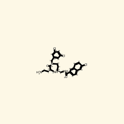 NCC[C@@H]1N[C@H](CNC(=O)c2ccc3cc(Cl)ccc3c2)CCN(Cc2cc(Cl)cc(Cl)c2)C1=O